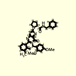 COc1ccc(Cn2c(-c3cccc(C)c3F)nc3sc(N4CCC[C@@H]4C(=O)NCc4ccccc4)nc3c2=O)c(OC)c1